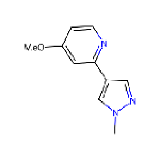 COc1ccnc(-c2cnn(C)c2)c1